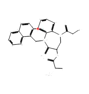 CN[C@@H](C)C(=O)NC1CN(C(=O)CC(C)C)c2ccccc2N(Cc2c(OC)ccc3ccccc23)C1=O